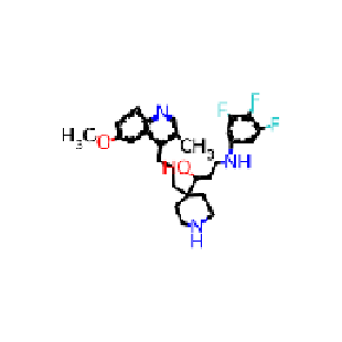 COc1ccc2ncc(C)c(CCCC3(C(O)CCNc4cc(F)c(F)c(F)c4)CCNCC3)c2c1